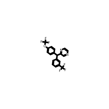 FC(F)(F)Oc1ccc(C(c2cccc(C(F)(F)F)c2)c2cnccn2)cc1